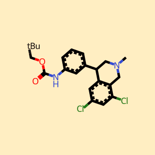 CN1Cc2c(Cl)cc(Cl)cc2C(c2cccc(NC(=O)OCC(C)(C)C)c2)C1